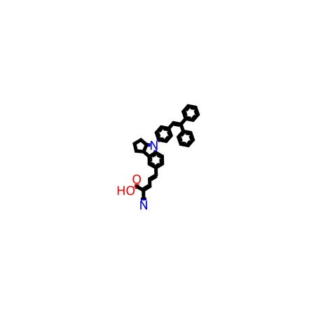 N#CC(=CC=Cc1ccc2c(c1)C1CCCC1N2c1ccc(C=C(c2ccccc2)c2ccccc2)cc1)C(=O)O